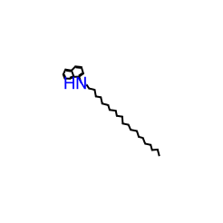 CCCCCCCCCCCCCCCCCCCCCCNc1cccc2ccccc12